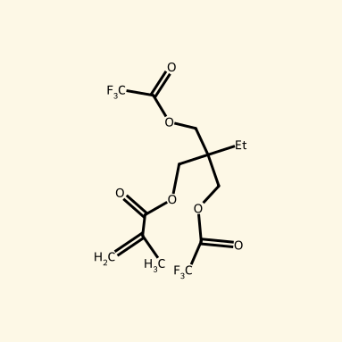 C=C(C)C(=O)OCC(CC)(COC(=O)C(F)(F)F)COC(=O)C(F)(F)F